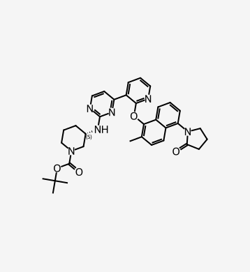 Cc1ccc2c(N3CCCC3=O)cccc2c1Oc1ncccc1-c1ccnc(N[C@H]2CCCN(C(=O)OC(C)(C)C)C2)n1